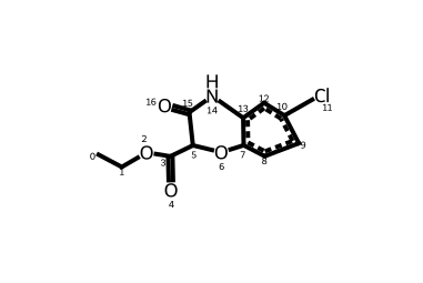 CCOC(=O)C1Oc2ccc(Cl)cc2NC1=O